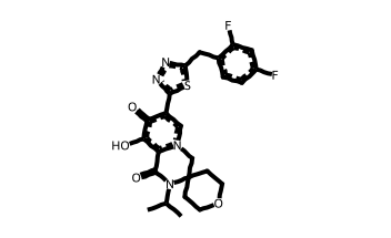 CC(C)N1C(=O)c2c(O)c(=O)c(-c3nnc(Cc4ccc(F)cc4F)s3)cn2CC12CCOCC2